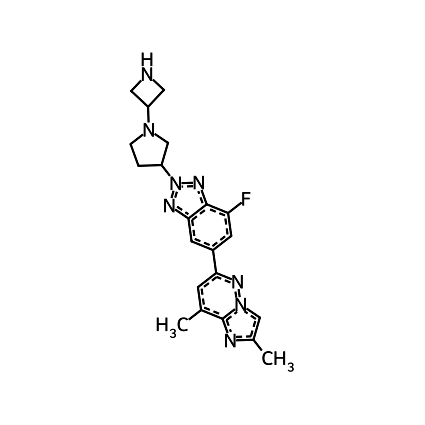 Cc1cn2nc(-c3cc(F)c4nn(C5CCN(C6CNC6)C5)nc4c3)cc(C)c2n1